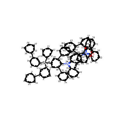 c1ccc(-c2cccc([Si](c3ccccc3)(c3cccc(-c4ccccc4)c3)c3cc(-c4ccccc4)c(-n4c5ccccc5c5cc(-n6c7ccccc7c7cccc(-c8ccccc8-c8cccc9oc%10ccccc%10c89)c76)ccc54)c(-c4ccccc4)c3)c2)cc1